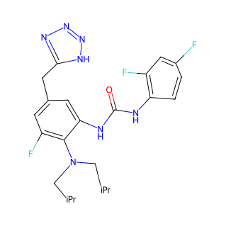 CC(C)CN(CC(C)C)c1c(F)cc(Cc2nnn[nH]2)cc1NC(=O)Nc1ccc(F)cc1F